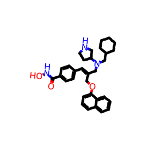 O=C(NO)c1ccc(/C=C(\COc2cccc3ccccc23)CN(CC2CCCCC2)C2CCNC2)cc1